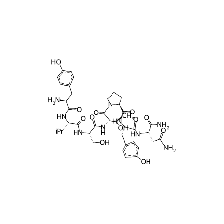 CC(C)[C@H](NC(=O)[C@@H](N)Cc1ccc(O)cc1)C(=O)N[C@@H](CO)C(=O)N[C@H](C(=O)N1CCC[C@H]1C(=O)N[C@@H](Cc1ccc(O)cc1)C(=O)N[C@@H](CC(N)=O)C(N)=O)[C@@H](C)O